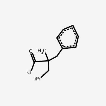 CC(C)CC(C)(Cc1ccccc1)C(=O)Cl